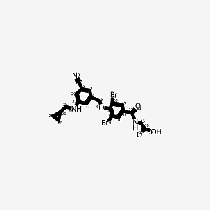 N#Cc1cc(COc2c(Br)cc(C(=O)NCC(=O)O)cc2Br)cc(NCC2CC2)c1